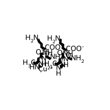 Cc1[nH]cnc1C[C@H](NC(=O)CN)C(=O)N[C@@H](CCCCN)C(=O)[O-].Cc1[nH]cnc1C[C@H](NC(=O)CN)C(=O)N[C@@H](CCCCN)C(=O)[O-].[Cu+2]